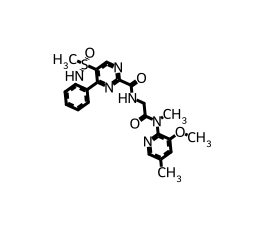 COc1cc(C)cnc1N(C)C(=O)CNC(=O)c1ncc(S(C)(=N)=O)c(-c2ccccc2)n1